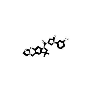 CC1(C)CN(C(=O)[C@H]2CC(=O)N(c3cccc(C#N)c3)C2)c2cc(Cl)c(Cn3ccnc3)cc21